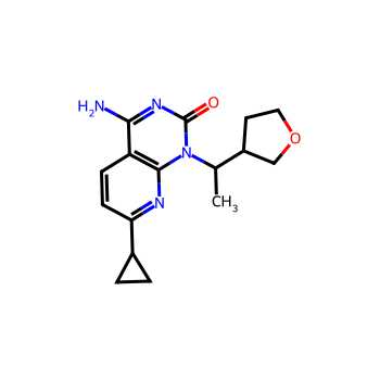 CC(C1CCOC1)n1c(=O)nc(N)c2ccc(C3CC3)nc21